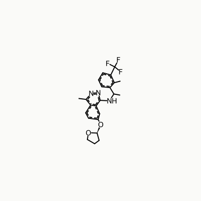 Cc1c(C(C)Nc2nnc(C)c3ccc(O[C@H]4CCCO4)cc23)cccc1C(F)(F)F